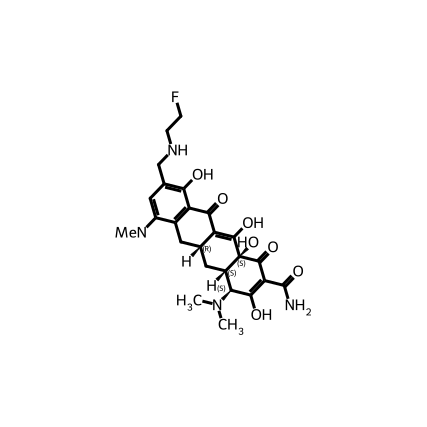 CNc1cc(CNCCF)c(O)c2c1C[C@H]1C[C@H]3[C@H](N(C)C)C(O)=C(C(N)=O)C(=O)[C@@]3(O)C(O)=C1C2=O